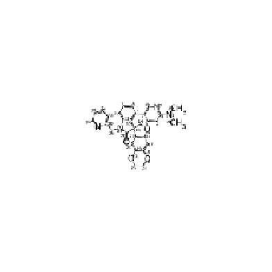 CN(C)c1ccc(-c2cccc3c2C2(COc4cc5c(cc42)OCCO5)C(=O)N3Cc2ccccn2)cn1